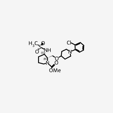 COC(=O)N1CCC[C@H](NS(C)(=O)=O)[C@@H]1COC1CCN(c2ccccc2Cl)CC1